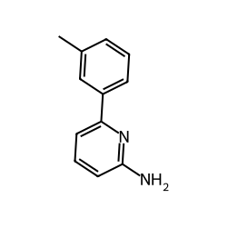 Cc1cccc(-c2cccc(N)n2)c1